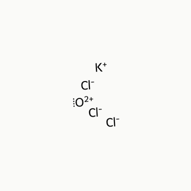 [Cl-].[Cl-].[Cl-].[K+].[O+2]